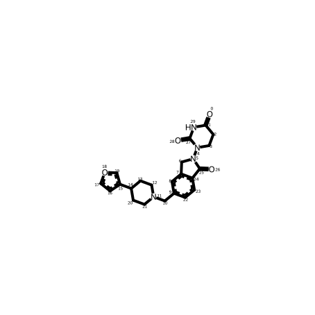 O=C1CCN(N2Cc3cc(CN4CCC(c5ccoc5)CC4)ccc3C2=O)C(=O)N1